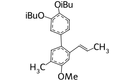 C/C=C/c1cc(OC)c(C)cc1-c1ccc(OCC(C)C)c(OCC(C)C)c1